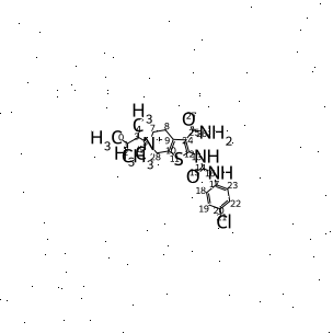 CC(C)C(C)[N+]1(C)CCc2c(sc(NC(=O)Nc3ccc(Cl)cc3)c2C(N)=O)C1